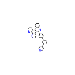 c1cc(-c2ccncc2)cc(-c2ccc(-c3nc4ccccc4c4c5cccnc5c5ncccc5c34)cc2)c1